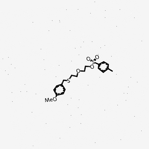 COc1ccc(CSCCOCCOS(=O)(=O)c2ccc(C)cc2)cc1